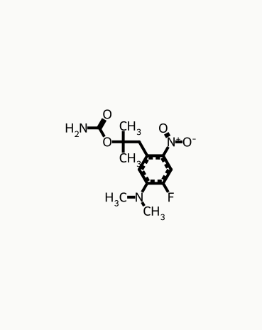 CN(C)c1cc(CC(C)(C)OC(N)=O)c([N+](=O)[O-])cc1F